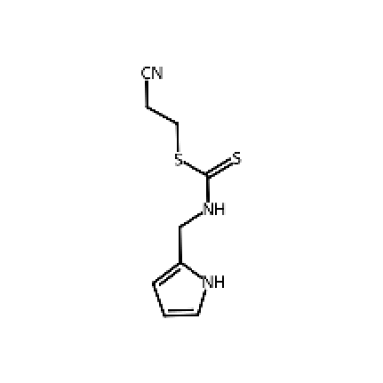 N#CCCSC(=S)NCc1ccc[nH]1